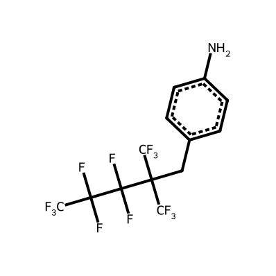 Nc1ccc(CC(C(F)(F)F)(C(F)(F)F)C(F)(F)C(F)(F)C(F)(F)F)cc1